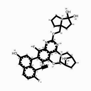 C#Cc1c(F)ccc2cc(O)cc(-c3c(Cl)c(OC)c4c(N5CC6CCC(C5)N6)nc(OCC56CCCN5C(O)(O)CC6)nc4c3F)c12